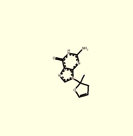 CC1(n2cnc3c(=O)[nH]c(N)nc32)CC=CO1